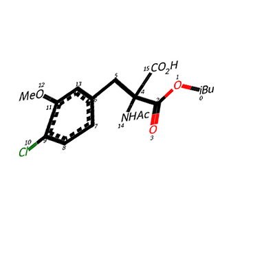 CCC(C)OC(=O)C(Cc1ccc(Cl)c(OC)c1)(NC(C)=O)C(=O)O